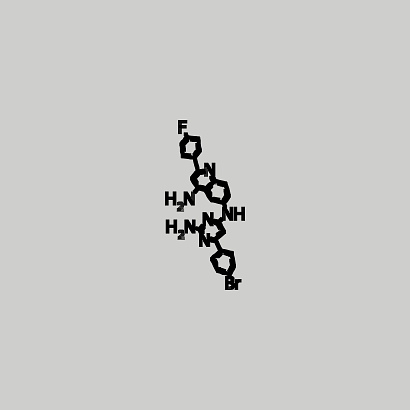 Nc1nc(Nc2ccc3nc(-c4ccc(F)cc4)cc(N)c3c2)cc(-c2ccc(Br)cc2)n1